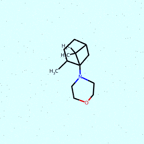 CC1CCC2CC1(N1CCOCC1)C2(C)C